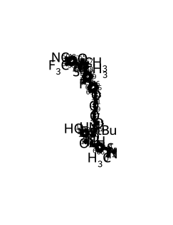 Cc1ncsc1-c1ccc(CNC(=O)[C@@H]2C[C@@H](O)CN2C(=O)C(NC(=O)COCCOCCOc2ccc(-c3ccc(N4C(=S)N(c5ccc(C#N)c(C(F)(F)F)c5)C(=O)C4(C)C)cc3F)cc2)C(C)(C)C)cc1